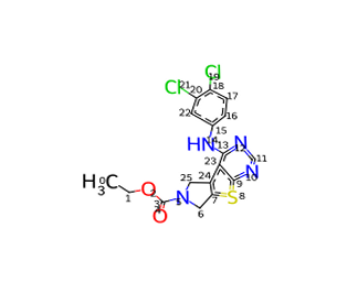 CCOC(=O)N1Cc2sc3ncnc(Nc4ccc(Cl)c(Cl)c4)c3c2C1